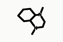 CN1CCN(C)C2CCCCC21